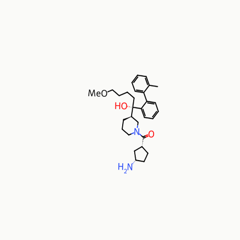 COCCCC[C@@](O)(c1ccccc1-c1ccccc1C)[C@@H]1CCCN(C(=O)[C@@H]2CC[C@H](N)C2)C1